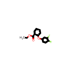 CCOC(=O)c1ccccc1Oc1ccc(F)c(F)c1